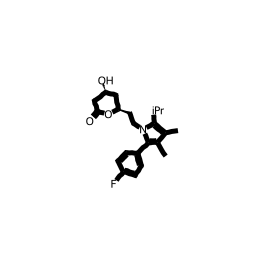 Cc1c(C)c(C(C)C)n(CC[C@@H]2C[C@@H](O)CC(=O)O2)c1-c1ccc(F)cc1